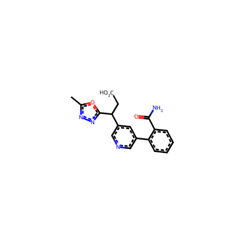 Cc1nnc(C(CC(=O)O)c2cncc(-c3ccccc3C(N)=O)c2)o1